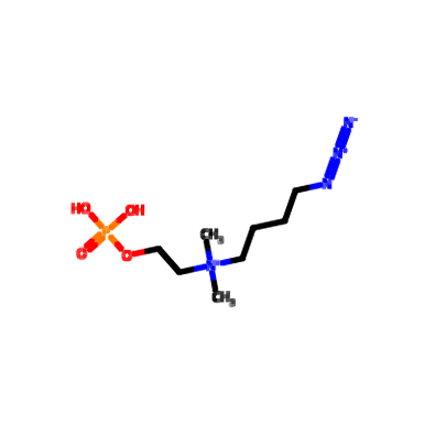 C[N+](C)(CCCCN=[N+]=[N-])CCOP(=O)(O)O